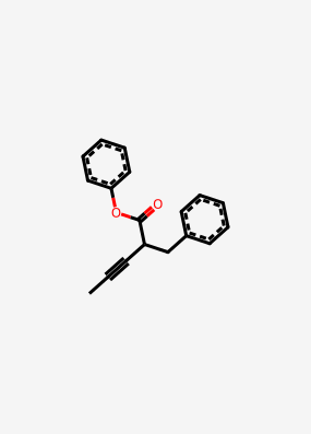 CC#CC(Cc1ccccc1)C(=O)Oc1ccccc1